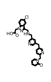 O=C(O)Cn1nc(CNCc2cncc(Cc3ccc(Cn4ccccc4=O)nc3)c2)c2cc(Cl)ccc21